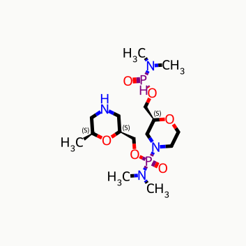 C[C@H]1CNC[C@@H](COP(=O)(N(C)C)N2CCO[C@H](CO[PH](=O)N(C)C)C2)O1